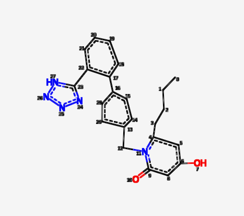 CCCCc1cc(O)cc(=O)n1Cc1ccc(-c2ccccc2-c2nnn[nH]2)cc1